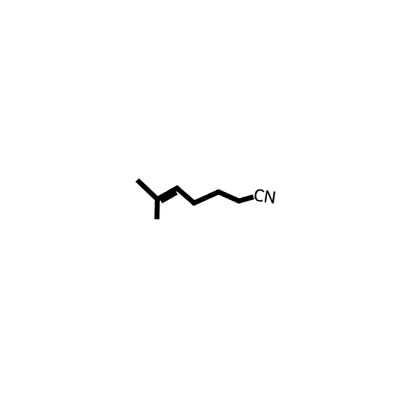 CC(C)=CCCCC#N